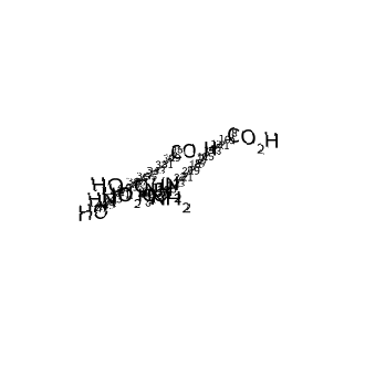 C[C@H](N)C(=O)O.C[C@H](N)C(=O)O.O=C(O)CCCCCCCCCCCCCCCNCCO.O=C(O)CCCCCCCCCCCCCCCNCCO